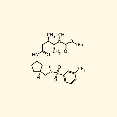 C[C@H](CC(=O)N[C@H]1CC[C@@H]2CN(S(=O)(=O)c3cccc(C(F)(F)F)c3)CC21)[C@H](C)N(C)C(=O)OC(C)(C)C